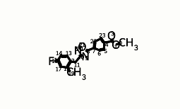 COC(=O)c1ccc(-c2nc(Cc3ccc(F)cc3C)no2)cc1